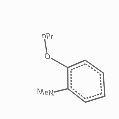 CCCOc1ccccc1NC